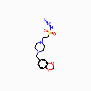 [N-]=[N+]=NS(=O)(=O)CCN1CCN(Cc2ccc3c(c2)OCO3)CC1